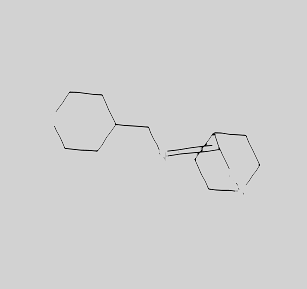 C1CC(CN=C2CN3CCC2CC3)CCO1